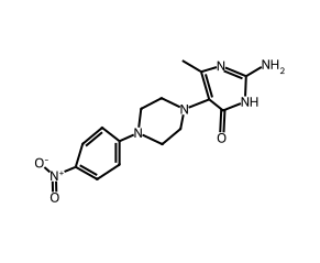 Cc1nc(N)[nH]c(=O)c1N1CCN(c2ccc([N+](=O)[O-])cc2)CC1